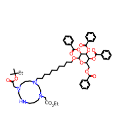 CCOC(=O)CN1CCCNCCN(CC(=O)OC(C)(C)CC)CCCN(CCCCCCCCCCOC2OC(COC(=O)c3ccccc3)C(OC(=O)c3ccccc3)C(OC(=O)c3ccccc3)C2OC(=O)c2ccccc2)CC1